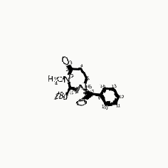 CN1C(=O)CCN(C(=O)c2ccccc2)C1C(C)(C)C